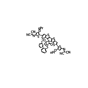 CCCOc1cc(N=C(C#N)C#N)sc1-c1cc2sc3c(c2s1)C(C(=O)OCc1ccccc1)(C(=O)OCc1ccccc1)c1c-3sc2cc(-c3sc(N=C(C#N)C#N)cc3OCCC)sc12